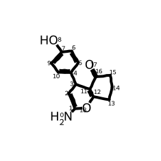 NC1=CC(c2ccc(O)cc2)C2=C(CCCC2=O)O1